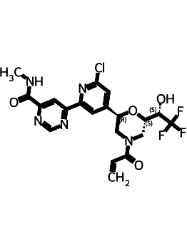 C=CC(=O)N1C[C@@H](c2cc(Cl)nc(-c3cc(C(=O)NC)ncn3)c2)O[C@H]([C@H](O)C(F)(F)F)C1